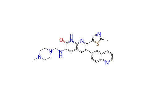 Cc1ncc(-c2nc3[nH]c(=O)c(NCN4CCN(C)CC4)cc3cc2-c2ccc3ncccc3c2)s1